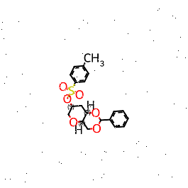 Cc1ccc(S(=O)(=O)O[C@@H]2CO[C@@H]3COC(c4ccccc4)O[C@@H]3C2)cc1